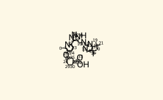 Cc1nc(-c2nnn(C)c2CNc2ncc(F)c(C(C)(C)C)n2)ccc1O[C@H]1CCC[C@H](C(=O)O)C1